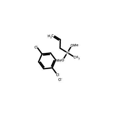 C=CC[N+](C)(OC)OC.Clc1ccc(Cl)cc1.[Cl-]